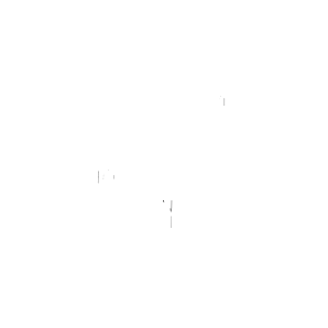 OCC1Cc2cc(Br)ccc2CN1